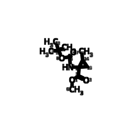 COC(=O)C1(NC(=O)OC(C)(C)C)CC1C